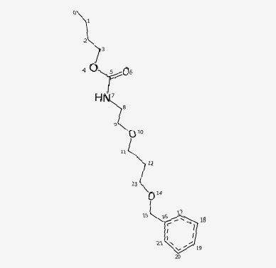 CCCCOC(=O)NCCOCCCOCc1ccccc1